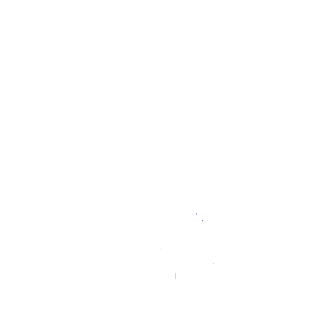 CC(C)(C)OC(=O)NCCCC(=O)c1ccc(F)cc1